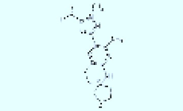 Cc1nc2c(cc1-c1nc(C(F)F)n(C)n1)CC[C@@]1(CCNC1)N2